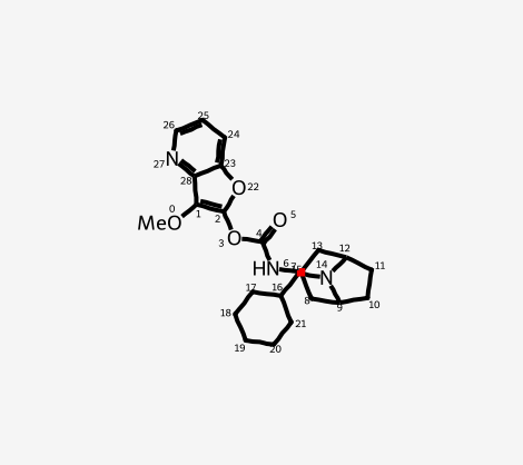 COc1c(OC(=O)NC2CC3CCC(C2)N3CC2CCCCC2)oc2cccnc12